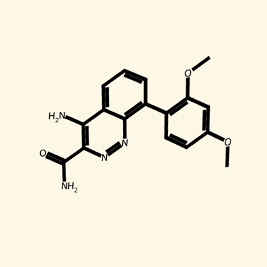 COc1ccc(-c2cccc3c(N)c(C(N)=O)nnc23)c(OC)c1